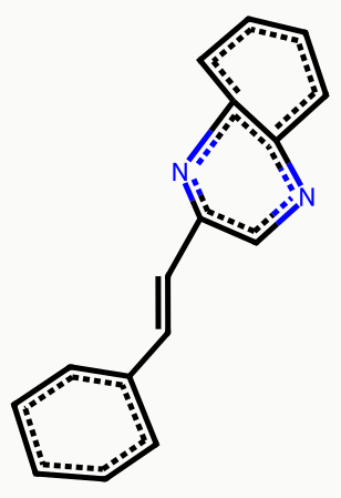 C(=C\c1cnc2ccccc2n1)/c1ccccc1